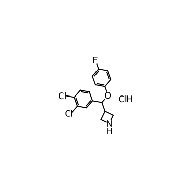 Cl.Fc1ccc(OC(c2ccc(Cl)c(Cl)c2)C2CNC2)cc1